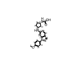 COc1ccc(-n2nnc3cnc(N[C@@H]4CC[C@H](NC(=O)O)C4)nc32)cc1